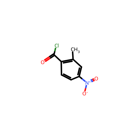 Cc1cc([N+](=O)[O-])ccc1C(=O)Cl